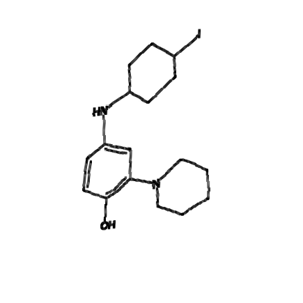 Oc1ccc(NC2CCC(I)CC2)cc1N1CCCCC1